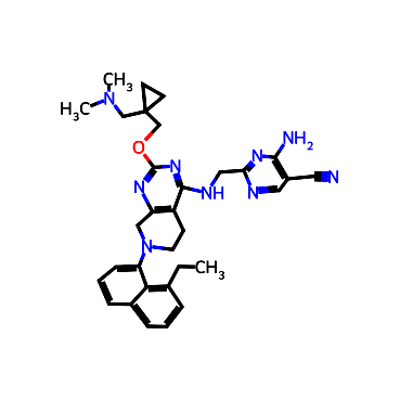 CCc1cccc2cccc(N3CCc4c(nc(OCC5(CN(C)C)CC5)nc4NCc4ncc(C#N)c(N)n4)C3)c12